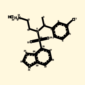 CC(c1cccc(Cl)c1)N(CCN)S(=O)(=O)c1cccc2ncsc12.Cl